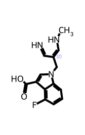 CN/C=C(\C=N)Cn1cc(C(=O)O)c2c(F)cccc21